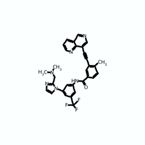 Cc1ccc(C(=O)Nc2cc(-n3ccnc3CN(C)C)cc(C(F)(F)F)c2)cc1C#Cc1cncc2cccnc12